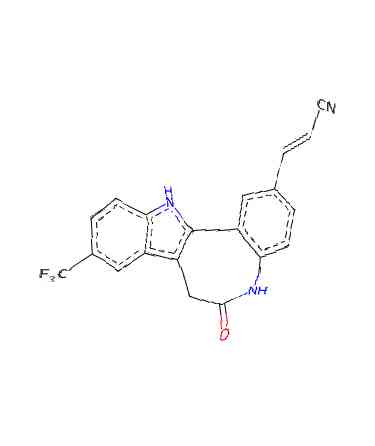 N#CC=Cc1ccc2c(c1)-c1[nH]c3ccc(C(F)(F)F)cc3c1CC(=O)N2